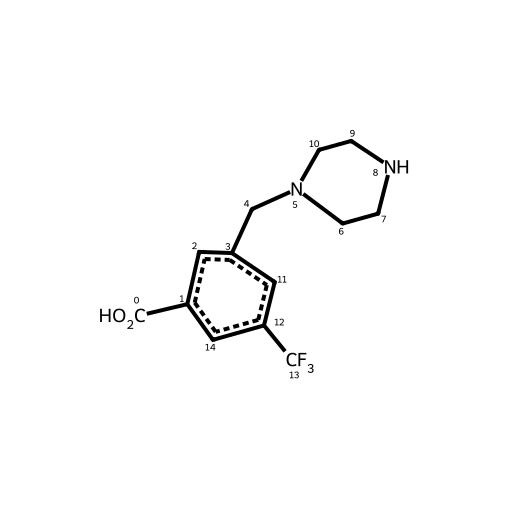 O=C(O)c1cc(CN2CCNCC2)cc(C(F)(F)F)c1